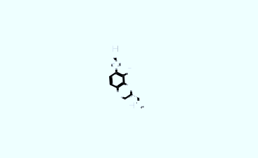 CCNC[C@H]1COc2ccc(S(C)(=O)=O)c(F)c2O1